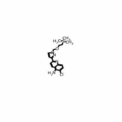 C[Si](C)(C)CCOCn1ccc(-c2ccc3c(N)c(Cl)ccc3n2)n1